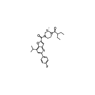 CCC(CC)C(=O)N1CCN(C(=O)c2cc3nc(-c4ccc(F)cc4)cc(C(C)C)c3o2)C[C@@H]1C